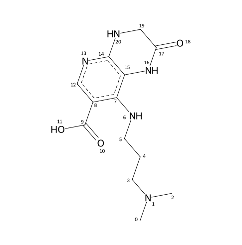 CN(C)CCCNc1c(C(=O)O)cnc2c1NC(=O)CN2